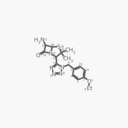 CCOc1ccc(Cn2nnnc2C2N3C(=O)C(N)C3SC2(C)C)cc1